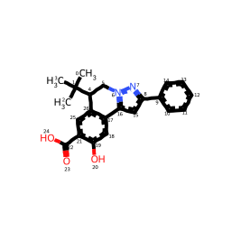 CC(C)(C)C1Cn2nc(-c3ccccc3)cc2-c2cc(O)c(C(=O)O)cc21